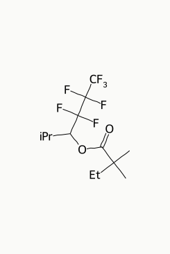 CCC(C)(C)C(=O)OC(C(C)C)C(F)(F)C(F)(F)C(F)(F)F